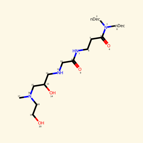 CCCCCCCCCCN(CCCCCCCCCC)C(=O)CCNC(=O)CNCC(O)CN(C)CCO